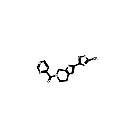 O=C(c1ccncn1)N1CCc2cc(-c3noc(C(F)(F)F)n3)sc2C1